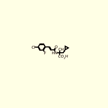 CC(CC1CC1)(NC(=O)C=Cc1ccc(Cl)cc1F)C(=O)O